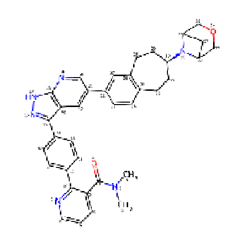 CN(C)C(=O)c1cccnc1-c1ccc(-c2n[nH]c3ncc(-c4ccc5c(c4)CC[C@@H](N4C6COCC4C6)CC5)cc23)cc1